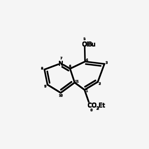 CCOC(=O)c1ccc(OCC(C)C)c2ncccc12